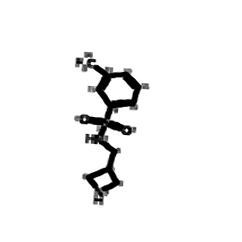 O=S(=O)(NCC1CNC1)c1cccc(C(F)(F)F)c1